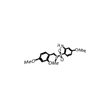 COc1ccc(S(=O)(=O)N(C)Cc2ccc(OC)cc2OC)c(N)c1